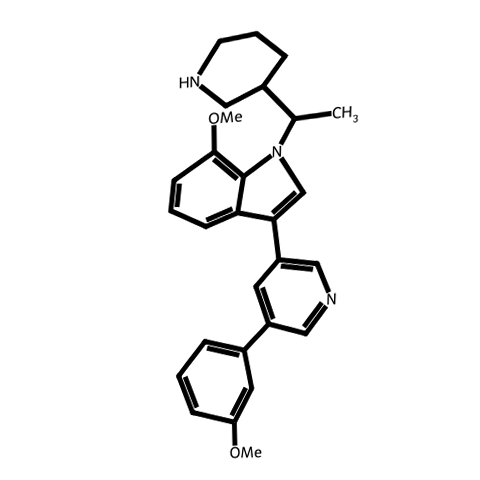 COc1cccc(-c2cncc(-c3cn(C(C)C4CCCNC4)c4c(OC)cccc34)c2)c1